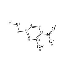 CSCc1ccc([N+](=O)[O-])c(O)c1